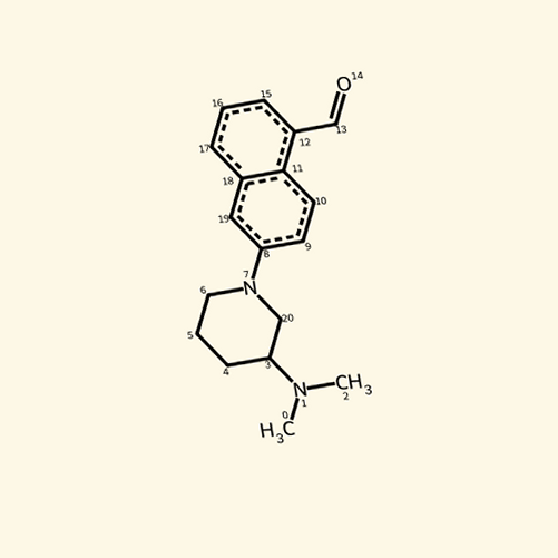 CN(C)C1CCCN(c2ccc3c(C=O)cccc3c2)C1